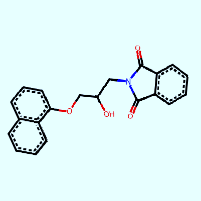 O=C1c2ccccc2C(=O)N1CC(O)COc1cccc2ccccc12